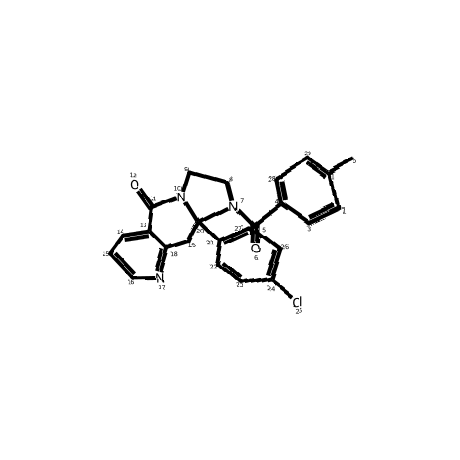 Cc1ccc(C(=O)N2CCN3C(=O)c4cccnc4CC23c2ccc(Cl)cc2)cc1